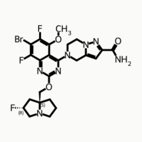 COc1c(F)c(Br)c(F)c2nc(OC[C@@]34CCCN3C[C@H](F)C4)nc(N3CCn4nc(C(N)=O)cc4C3)c12